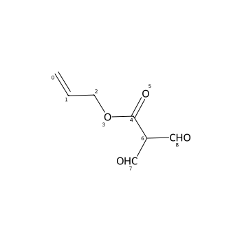 C=CCOC(=O)C(C=O)C=O